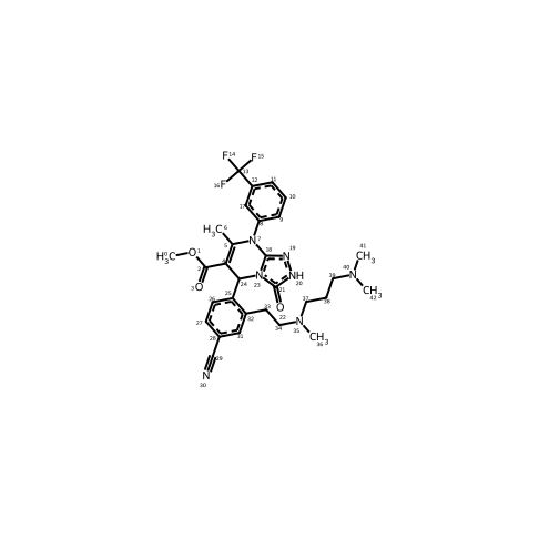 COC(=O)C1=C(C)N(c2cccc(C(F)(F)F)c2)c2n[nH]c(=O)n2C1c1ccc(C#N)cc1CCN(C)CCCN(C)C